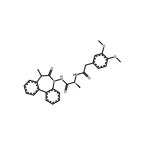 COc1ccc(CC(=O)N[C@@H](C)C(=O)NN2C(=O)C(C)c3ccccc3-c3ccccc32)cc1OC